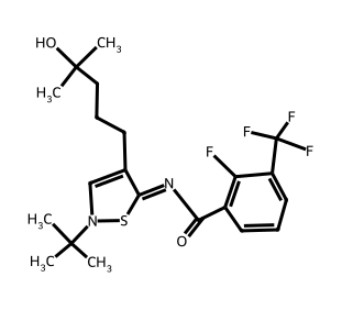 CC(C)(O)CCCc1cn(C(C)(C)C)sc1=NC(=O)c1cccc(C(F)(F)F)c1F